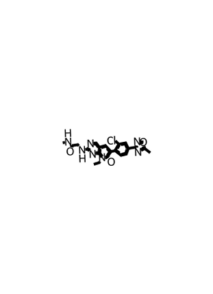 CCn1c(=O)c(-c2ccc(-c3noc(C)n3)cc2Cl)cc2cnc(NCC(=O)NC)nc21